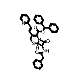 O=C(Cc1ccccc1)NC1C(=O)N2C(C(=O)OC(c3ccccc3)c3ccccc3)=C(C=Cc3ccccn3)CS[C@@H]12